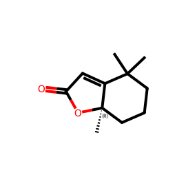 CC1(C)CCC[C@@]2(C)OC(=O)C=C12